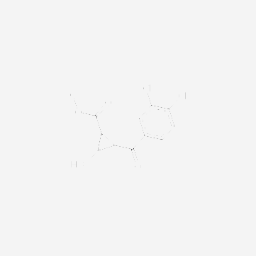 COC(=O)C1C(C)C1C(=O)c1ccc(Cl)c(Cl)c1